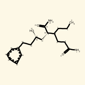 CCCC(CCC(N)=O)[C@H](C[C@@H](O)[CH]Cc1ccccc1)C(N)=O